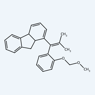 COCOc1ccccc1C(C1=CC=CC2c3ccccc3CC12)=C(C)C